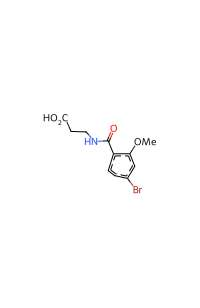 COc1cc(Br)ccc1C(=O)NCCC(=O)O